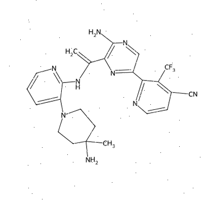 C=C(Nc1ncccc1N1CCC(C)(N)CC1)c1nc(-c2nccc(C#N)c2C(F)(F)F)cnc1N